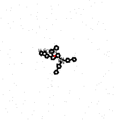 CC1(C)c2ccccc2-c2ccc(-c3ccccc3-c3cccc4c5ccccc5n(-c5ccc(-c6nc(-c7ccc(-c8ccccc8)cc7)nc(-c7ccc(-c8ccccc8)cc7)n6)cc5)c34)cc21